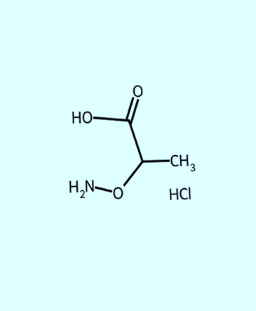 CC(ON)C(=O)O.Cl